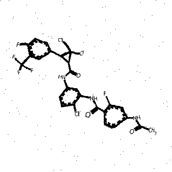 CC(=O)Nc1ccc(C(=O)Nc2cc(NC(=O)C3C(c4ccc(F)c(C(F)(F)F)c4)C3(Cl)Cl)ccc2Cl)c(F)c1